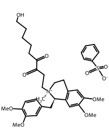 COc1ccc(C[C@@H]2c3cc(OC)c(OC)cc3CC[N@+]2(C)CCC(=O)C(=O)CCCCCO)cc1OC.O=S(=O)([O-])c1ccccc1